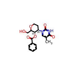 Cc1cn([C@@H]2CCOC(CO)[C@H]2OC(=O)c2ccccc2)c(=O)[nH]c1=O